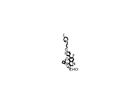 CN(C=O)c1cnc2cc(F)c(-c3ccc(OCCCN4CCC(F)CC4)nc3)c3c2c1N(C)C1(CCC1)CO3